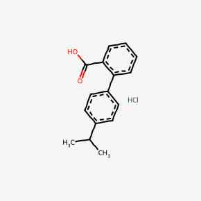 CC(C)c1ccc(-c2ccccc2C(=O)O)cc1.Cl